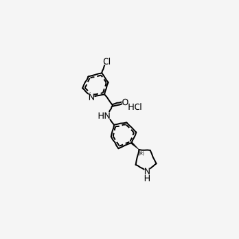 Cl.O=C(Nc1ccc([C@H]2CCNC2)cc1)c1cc(Cl)ccn1